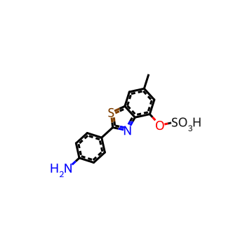 Cc1cc(OS(=O)(=O)O)c2nc(-c3ccc(N)cc3)sc2c1